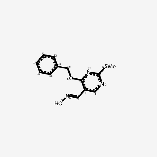 CSc1ncc(C=NO)c(OCc2ccccc2)n1